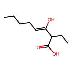 CCCCC=C(O)C(CC)C(=O)O